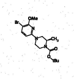 COc1nc(N2CCN(C(=O)OC(C)(C)C)[C@H](C)C2)ccc1Br